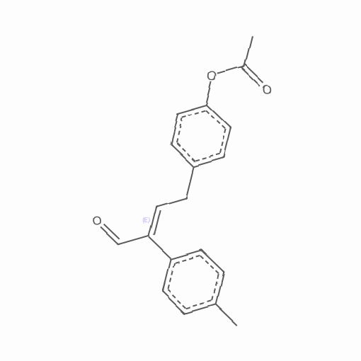 CC(=O)Oc1ccc(C/C=C(/C=O)c2ccc(C)cc2)cc1